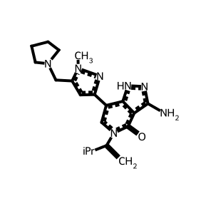 C=C(C(C)C)n1cc(-c2cc(CN3CCCC3)n(C)n2)c2[nH]nc(N)c2c1=O